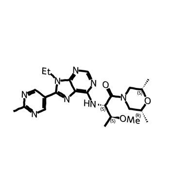 CCn1c(-c2cnc(C)nc2)nc2c(N[C@H](C(=O)N3C[C@@H](C)O[C@@H](C)C3)[C@H](C)OC)ncnc21